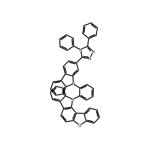 c1ccc(-c2nnc(-c3ccc4c5ccccc5n(-c5ccccc5-n5c6ccccc6c6ccc7oc8ccccc8c7c65)c4c3)n2-c2ccccc2)cc1